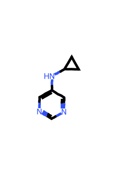 c1ncc(NC2CC2)cn1